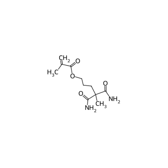 C=C(C)C(=O)OCCCC(C)(C(N)=O)C(N)=O